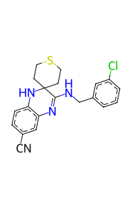 N#Cc1ccc2c(c1)N=C(NCc1cccc(Cl)c1)C1(CCSCC1)N2